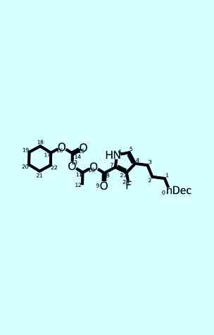 CCCCCCCCCCCCCc1c[nH]c(C(=O)OC(C)OC(=O)OC2CCCCC2)c1F